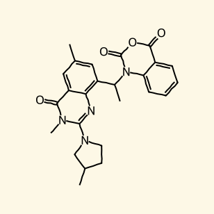 Cc1cc(C(C)n2c(=O)oc(=O)c3ccccc32)c2nc(N3CCC(C)C3)n(C)c(=O)c2c1